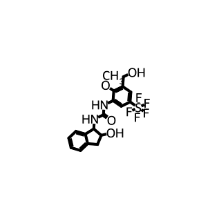 COc1c(CO)cc(S(F)(F)(F)(F)F)cc1NC(=O)NC1c2ccccc2CC1O